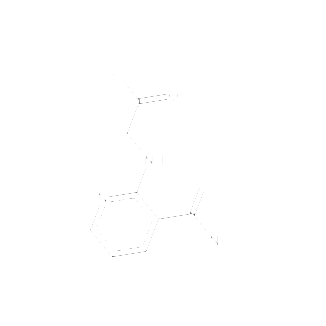 NC(=O)c1cccnc1NCC(=O)O